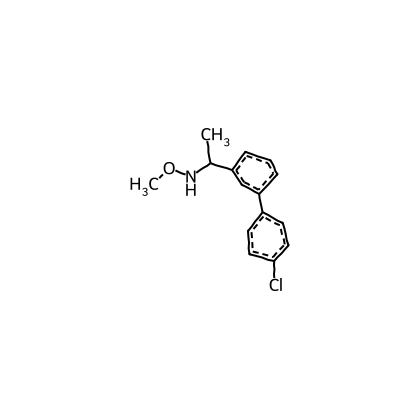 CONC(C)c1cccc(-c2ccc(Cl)cc2)c1